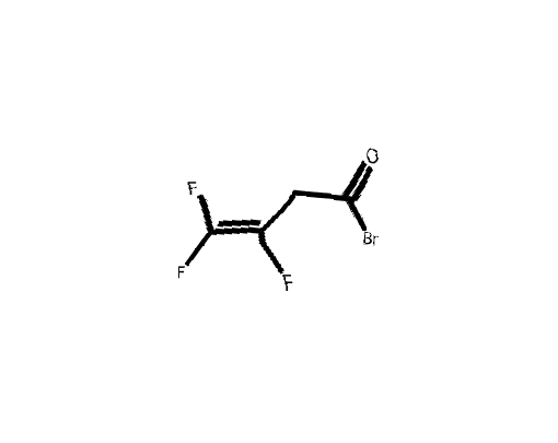 O=C(Br)CC(F)=C(F)F